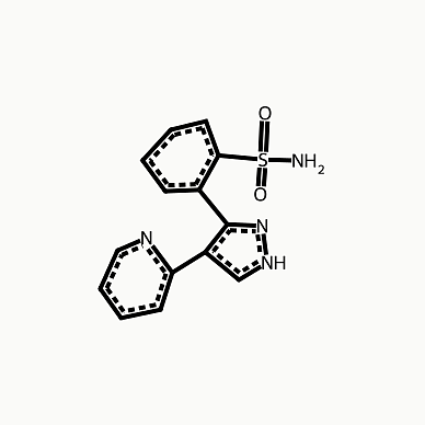 NS(=O)(=O)c1ccccc1-c1n[nH]cc1-c1ccccn1